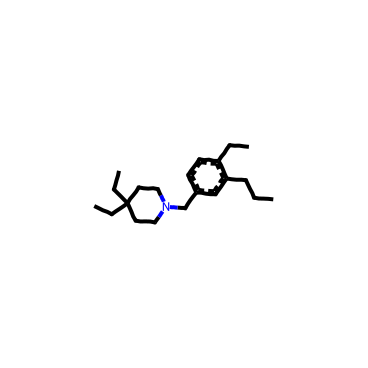 CCCc1cc(CN2CCC(CC)(CC)CC2)ccc1CC